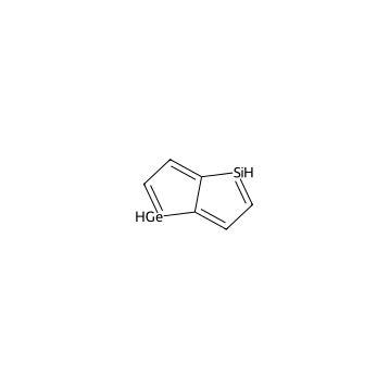 C1=[SiH]C2=C[CH]=[GeH][C]2=C1